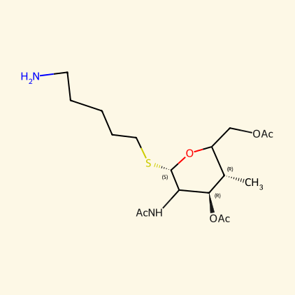 CC(=O)NC1[C@H](SCCCCCN)OC(COC(C)=O)[C@H](C)[C@H]1OC(C)=O